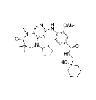 COc1cc(C(=O)NCC2(O)CCCCC2)ccc1Nc1ncc2c(n1)N(C1CCCC1)CC(C)(C)C(=O)N2C